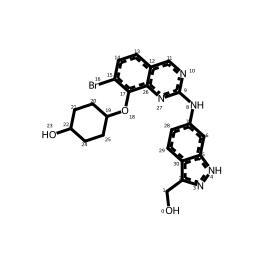 OCc1n[nH]c2cc(Nc3ncc4ccc(Br)c(OC5CCC(O)CC5)c4n3)ccc12